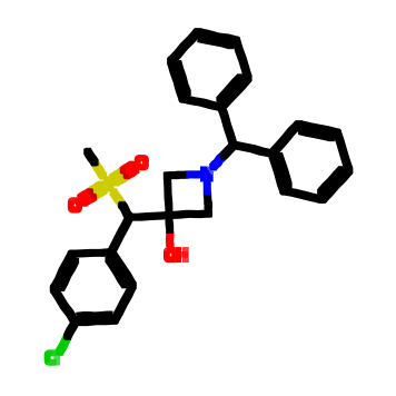 CS(=O)(=O)C(c1ccc(Cl)cc1)C1(O)CN(C(c2ccccc2)c2ccccc2)C1